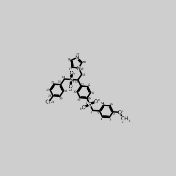 COc1ccc(CS(=O)(=O)c2ccc(C(Cn3ccnc3)S(=O)(=O)Cc3ccc(Cl)cc3)cc2)cc1